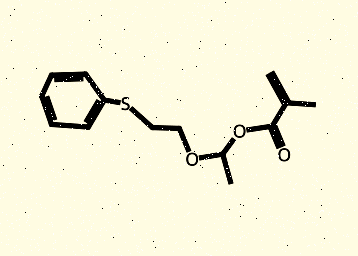 C=C(C)C(=O)OC(C)OCCSc1ccccc1